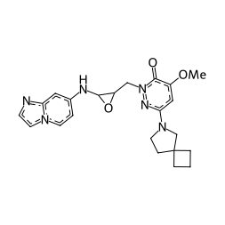 COc1cc(N2CCC3(CCC3)C2)nn(CC2OC2Nc2ccn3ccnc3c2)c1=O